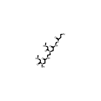 CBCC(=O)N(CCC)CC(=O)NCCN(CC(=O)NCOC(=O)CCC(C)=O)C(=O)CBC